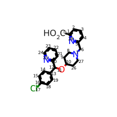 O=C(O)c1cccc(CN2CCC(OC(c3ccc(Cl)cc3)c3ccccn3)CC2)n1